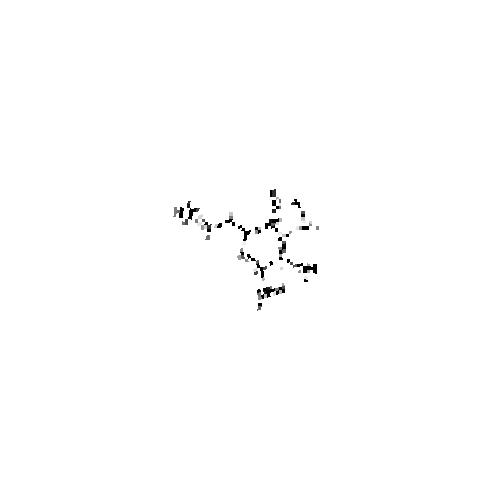 C=CCc1cc(OC)c(O)c2c1OCO2